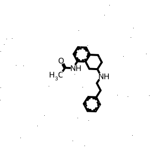 CC(=O)Nc1cccc2c1CC(NCCc1ccccc1)CC2